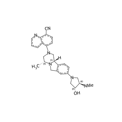 CN[C@@H]1CN(c2ccc3c(c2)CN2[C@H](C)CN(c4ccc(C#N)c5ncccc45)C[C@H]32)C[C@H]1O